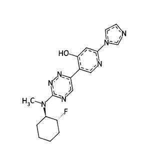 CN(c1ncc(-c2cnc(-n3ccnc3)cc2O)nn1)[C@@H]1CCCC[C@H]1F